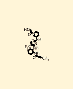 CC#CC(=O)NC1CCCC[C@H]1Nc1nc(N[C@H]2CCCN(C(=O)CO)C2)ncc1C(F)(F)F